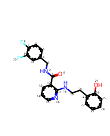 O=C(NCc1ccc(F)c(F)c1)c1cccnc1NCCc1ccccc1O